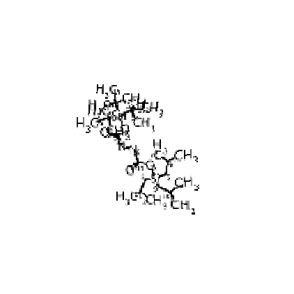 CC(C)C[Si](CC(C)C)(CC(C)C)OC(=O)N=NC(=O)O[Si](C(C)(C)C)(C(C)(C)C)C(C)(C)C